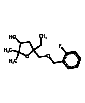 CCC1(COCc2ccccc2F)CC(O)C(C)(C)O1